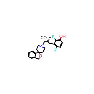 O=C(O)C(Cc1c(F)ccc(O)c1F)CN1CCC2(CC1)OCc1ccccc12